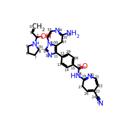 C=CC(O)N1CCC[C@H]1c1nc(-c2ccc(C(=O)NC3=NC=CC(C#N)=CC3)cc2)c2n1C=CN=C(N)C2